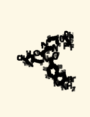 CC(c1ncccn1)N(Cc1ccc(Cl)cn1)C(=O)c1ccc2nc(N)c(Br)cc2c1.O=C(O)C(F)(F)F